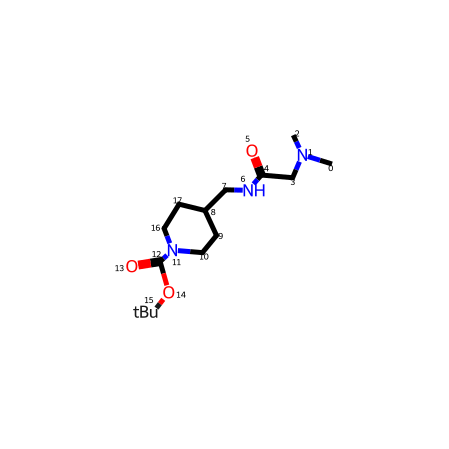 CN(C)CC(=O)NCC1CCN(C(=O)OC(C)(C)C)CC1